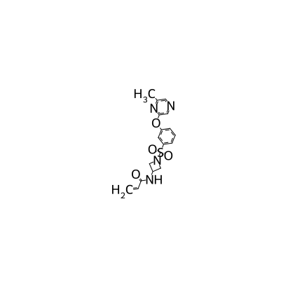 C=CC(=O)NC1CN(S(=O)(=O)c2cccc(Oc3cncc(C)n3)c2)C1